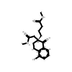 COC(=O)CCC[C@]1(CC(=O)OC)CCc2c(F)cccc2C1=O